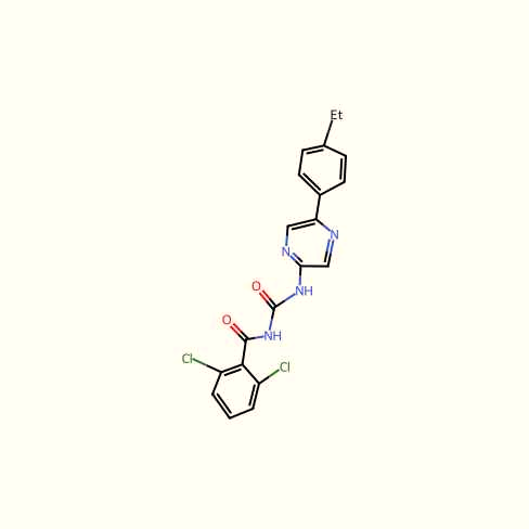 CCc1ccc(-c2cnc(NC(=O)NC(=O)c3c(Cl)cccc3Cl)cn2)cc1